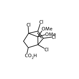 COC1(OC)C2(Cl)CC(C(=O)O)C1(Cl)C(Cl)=C2Cl